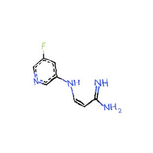 N=C(N)/C=C\Nc1cncc(F)c1